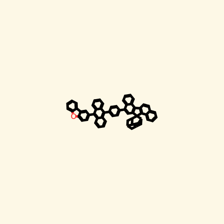 c1ccc2c3c(ccc2c1)-c1c(cc(-c2ccc(-c4c5ccccc5c(-c5ccc6oc7ccccc7c6c5)c5ccccc45)cc2)c2ccccc12)C31C2CC3CC(C2)CC1C3